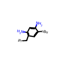 CCCCc1cc(CC(C)C)c(N)cc1N